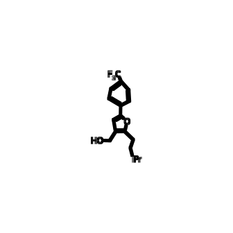 CC(C)CCc1oc(-c2ccc(C(F)(F)F)cc2)cc1CO